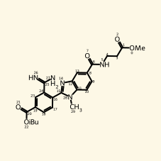 COC(=O)CCNC(=O)c1ccc2c(c1)nc(-c1ccc(C(=O)OCC(C)C)cc1C(=N)N)n2C